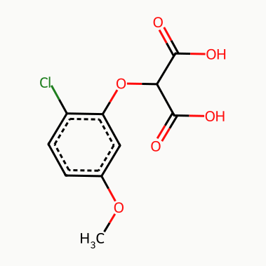 COc1ccc(Cl)c(OC(C(=O)O)C(=O)O)c1